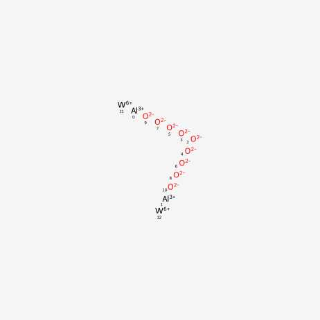 [Al+3].[Al+3].[O-2].[O-2].[O-2].[O-2].[O-2].[O-2].[O-2].[O-2].[O-2].[W+6].[W+6]